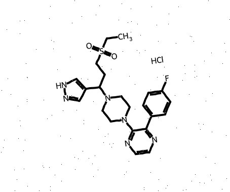 CCS(=O)(=O)CCC(c1cn[nH]c1)N1CCN(c2nccnc2-c2ccc(F)cc2)CC1.Cl